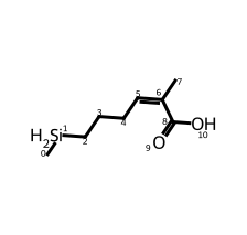 C[SiH2]CCCC=C(C)C(=O)O